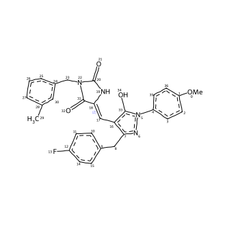 COc1ccc(-n2nc(Cc3ccc(F)cc3)c(/C=C3\NC(=O)N(Cc4cccc(C)c4)C3=O)c2O)cc1